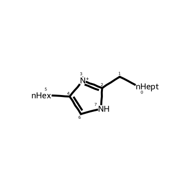 CCCCCCCCC1=[N+]C(CCCCCC)=CN1